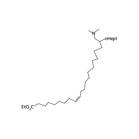 CCCCCCCC(CCCCCCCCCC/C=C\CCCCCCCC(=O)OCC)CN(C)C